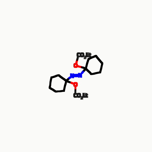 CCOC(=O)OC1(/N=N/C2(OC(=O)OCC)CCCCC2)CCCCC1